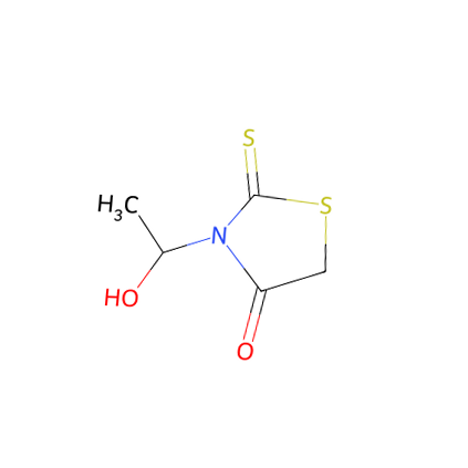 CC(O)N1C(=O)CSC1=S